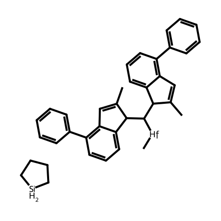 C1CC[SiH2]C1.[CH3][Hf][CH](C1C(C)=Cc2c(-c3ccccc3)cccc21)C1C(C)=Cc2c(-c3ccccc3)cccc21